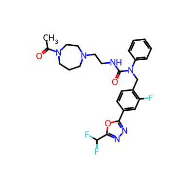 CC(=O)N1CCCN(CCNC(=O)N(Cc2ccc(-c3nnc(C(F)F)o3)cc2F)c2ccccc2)CC1